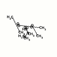 CCCCCCCCCC(CCCCCCC)C(=O)OCCCCCC(CCCCCOC(=O)C(CCCCCCC)CCCCCCCCC)OC(=O)NCCCN(C)CCCCN(C)C